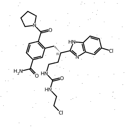 NC(=O)c1ccc(C(=O)N2CCCC2)c(C[C@@H](CCNC(=O)NCCCl)c2nc3cc(Cl)ccc3[nH]2)c1